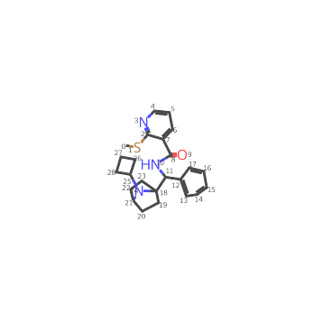 CSc1ncccc1C(=O)NC(c1ccccc1)C12CCC(CC1)N2C1CCC1